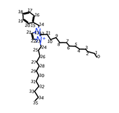 CCCCCCCCCCCCc1n(Cc2ccccc2)cc[n+]1CCCCCCCCCCCC